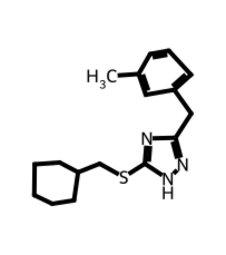 Cc1cccc(Cc2n[nH]c(SCC3CCCCC3)n2)c1